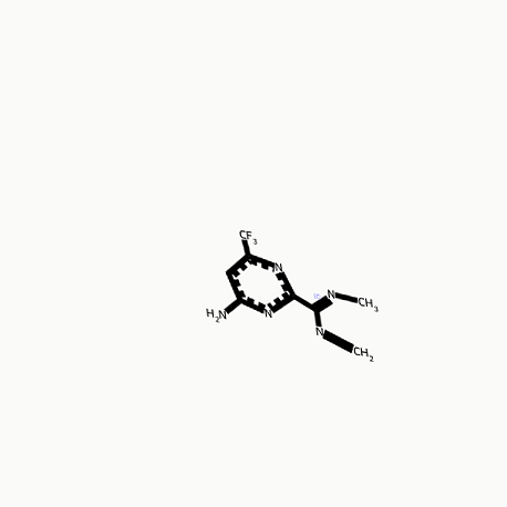 C=N/C(=N\C)c1nc(N)cc(C(F)(F)F)n1